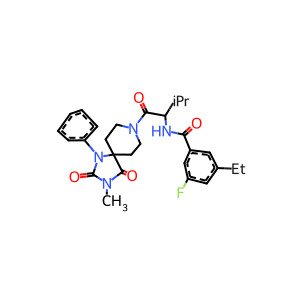 CCc1cc(F)cc(C(=O)NC(C(=O)N2CCC3(CC2)C(=O)N(C)C(=O)N3c2ccccc2)C(C)C)c1